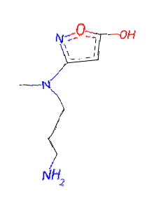 CN(CCCN)c1cc(O)on1